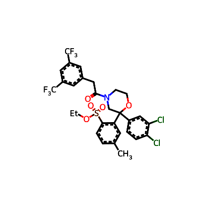 CCOS(=O)(=O)c1ccc(C)cc1C1(c2ccc(Cl)c(Cl)c2)CN(C(=O)Cc2cc(C(F)(F)F)cc(C(F)(F)F)c2)CCO1